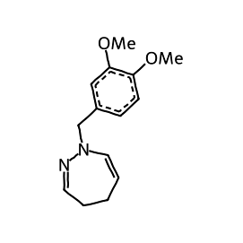 COc1ccc(CN2C=CCCC=N2)cc1OC